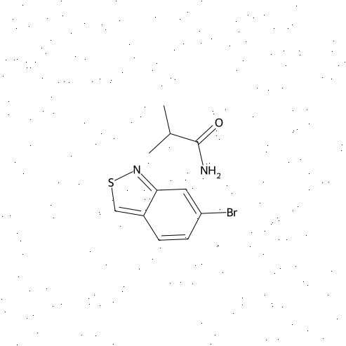 Brc1ccc2csnc2c1.CC(C)C(N)=O